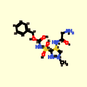 CN1C=S(NC(=O)CN)C(S(=O)(=O)NC(=O)OCc2ccccc2)N1